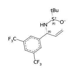 C=C[C@@H](N[S@@+]([O-])C(C)(C)C)c1cc(C(F)(F)F)cc(C(F)(F)F)c1